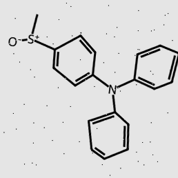 C[S+]([O-])c1[c]cc(N(c2ccccc2)c2ccccc2)cc1